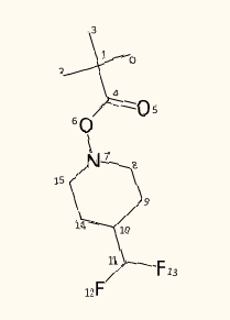 CC(C)(C)C(=O)ON1CCC(C(F)F)CC1